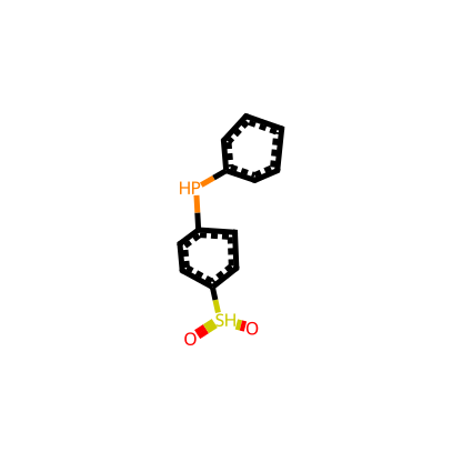 O=[SH](=O)c1ccc(Pc2ccccc2)cc1